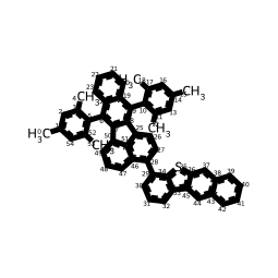 Cc1cc(C)c(-c2c3c(c(-c4c(C)cc(C)cc4C)c4ccccc24)-c2ccc(-c4cccc5c4sc4cc6ccccc6cc45)c4cccc-3c24)c(C)c1